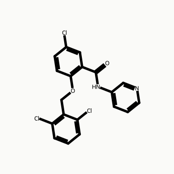 O=C(Nc1cccnc1)c1cc(Cl)ccc1OCc1c(Cl)cccc1Cl